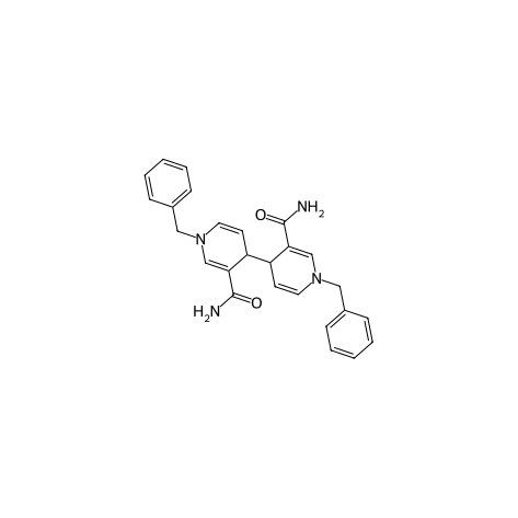 NC(=O)C1=CN(Cc2ccccc2)C=CC1C1C=CN(Cc2ccccc2)C=C1C(N)=O